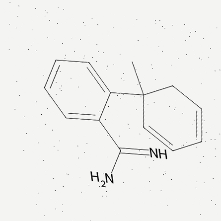 CC1(c2ccccc2C(=N)N)C=CC=CC1